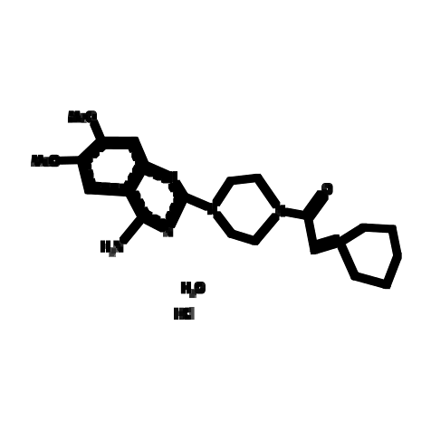 COc1cc2nc(N3CCN(C(=O)C=C4CCCCC4)CC3)nc(N)c2cc1OC.Cl.O